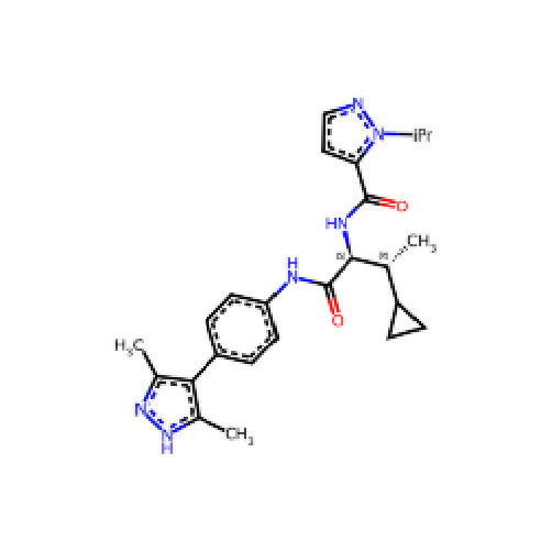 Cc1n[nH]c(C)c1-c1ccc(NC(=O)[C@@H](NC(=O)c2ccnn2C(C)C)[C@H](C)C2CC2)cc1